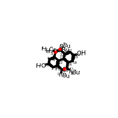 CCCCC(C)c1cc(O)cc(C(C)CCCC)c1-c1c(C(C)CCCC)cc(O)cc1C(C)CCCC